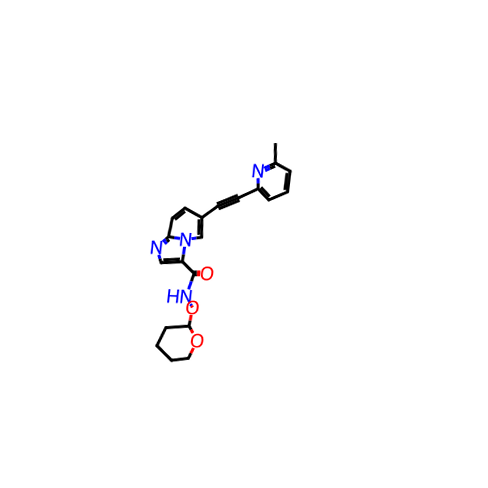 Cc1cccc(C#Cc2ccc3ncc(C(=O)NOC4CCCCO4)n3c2)n1